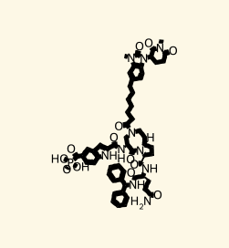 CN1C(=O)CCC(n2c(=O)n(C)c3cc(CCCCCCC(=O)N4CC[C@H]5CC[C@@H](C(=O)N[C@@H](CCC(N)=O)C(=O)NC(c6ccccc6)c6ccccc6)N5C(=O)[C@@H](NC(=O)c5cc6cc(C(=O)P(=O)(O)O)ccc6[nH]5)C4)ccc32)C1=O